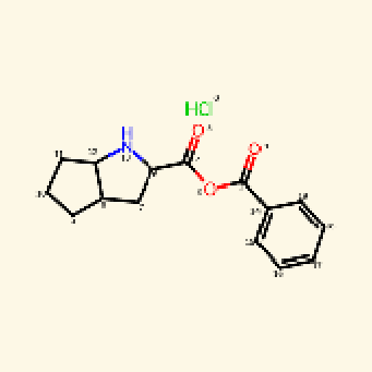 Cl.O=C(OC(=O)C1CC2CCCC2N1)c1ccccc1